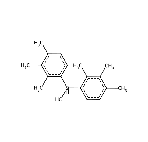 Cc1ccc([SiH](O)c2ccc(C)c(C)c2C)c(C)c1C